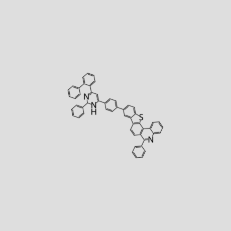 C1=C(c2ccc(-c3ccc4sc5c(ccc6c(-c7ccccc7)nc7ccccc7c65)c4c3)cc2)NC(c2ccccc2)N=C1c1ccccc1-c1ccccc1